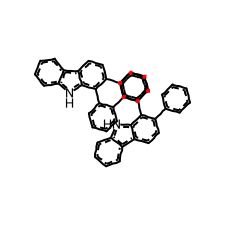 c1ccc(-c2ccc3c([nH]c4ccccc43)c2-c2ccccc2-c2ccccc2-c2c(-c3ccccc3)ccc3c2[nH]c2ccccc23)cc1